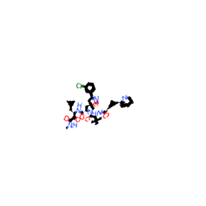 CNC(=O)C(=O)[C@H](CC1CC1)NC(=O)[C@@H]1C[C@]2(CC(c3cccc(Cl)c3)=NO2)CN1C(=O)[C@@H](NC(=O)[C@@H]1C[C@@H]1c1ccccn1)C(C)(C)C